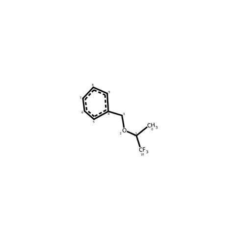 C[C](OCc1ccccc1)C(F)(F)F